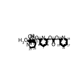 CC1(C)[C@@H](Oc2cccc(OC(=O)Oc3ccccn3)n2)C2CCN1CC2